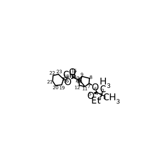 CCC(C)(C)C(=O)OC1CC2CC1CC2C(=O)OC1(C)CCCCC1